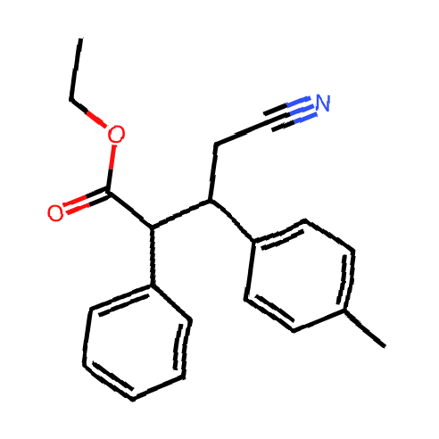 CCOC(=O)C(c1ccccc1)C(CC#N)c1ccc(C)cc1